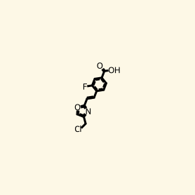 O=C(O)c1ccc(C=Cc2nc(CCl)co2)c(F)c1